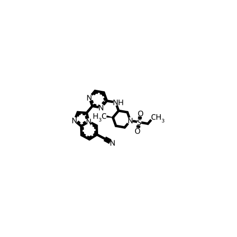 CCS(=O)(=O)N1CC[C@@H](C)C(Nc2ccnc(-c3cnc4ccc(C#N)cn34)n2)C1